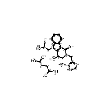 Cc1[nH]cnc1CC1CC(C)c2c(c3ccccc3n2CC(=O)O)C1=O.O=C(O)C=CC(=O)O